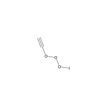 C#COOOI